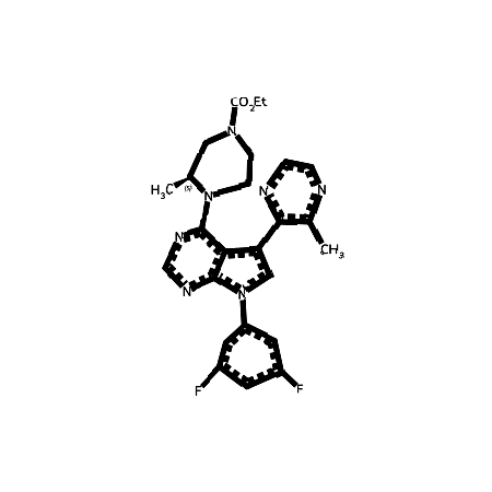 CCOC(=O)N1CCN(c2ncnc3c2c(-c2nccnc2C)cn3-c2cc(F)cc(F)c2)[C@@H](C)C1